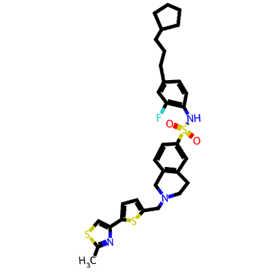 Cc1nc(-c2ccc(CN3CCc4cc(S(=O)(=O)Nc5ccc(CCCC6CCCC6)cc5F)ccc4C3)s2)cs1